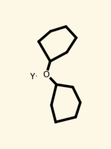 C1CCC(OC2CCCCC2)CC1.[Y]